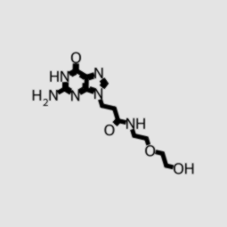 Nc1nc2c(ncn2CCC(=O)NCCOCCO)c(=O)[nH]1